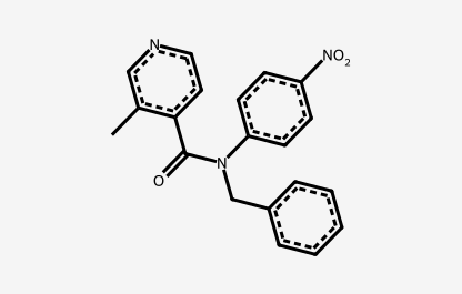 Cc1cnccc1C(=O)N(Cc1ccccc1)c1ccc([N+](=O)[O-])cc1